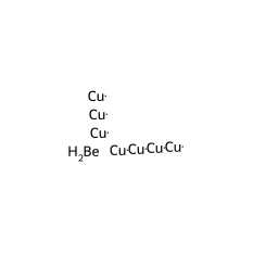 [BeH2].[Cu].[Cu].[Cu].[Cu].[Cu].[Cu].[Cu]